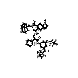 O=C(NCC(C(=O)Nc1cc(NS(=O)(=O)C(F)(F)F)cc(NS(=O)(=O)C(F)(F)F)c1)c1ccccc1)c1cc2cc[nH]c2cc1C(=O)NCC12CC3CC(CC(C3)C1)C2